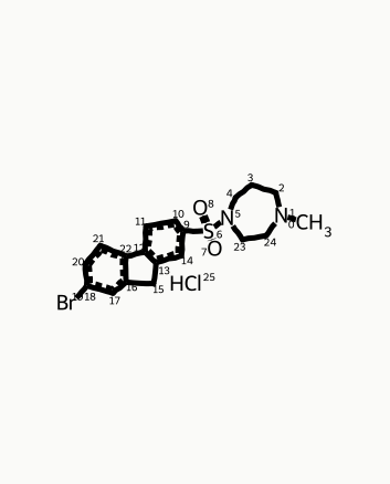 CN1CCCN(S(=O)(=O)c2ccc3c(c2)Cc2cc(Br)ccc2-3)CC1.Cl